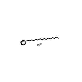 CCCCCCCCCCCCCCCC[n+]1ccccc1.[Al+3]